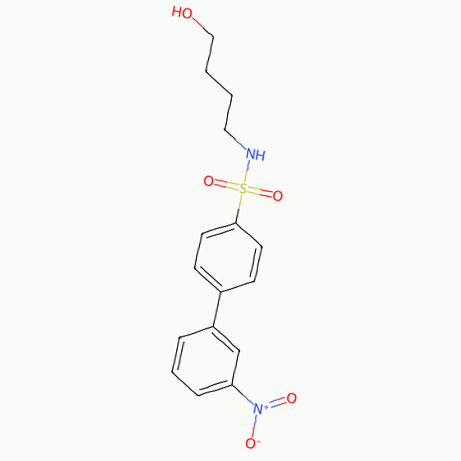 O=[N+]([O-])c1cccc(-c2ccc(S(=O)(=O)NCCCCO)cc2)c1